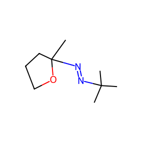 CC(C)(C)N=NC1(C)CCCO1